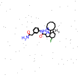 CC1CCC(F)C2CC(C(=O)Nc3cccc(CC(N)=O)c3)NC12C1CCCCCCCC1